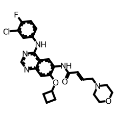 O=C(C=CCN1CCOCC1)Nc1cc2c(Nc3ccc(F)c(Cl)c3)ncnc2cc1OC1CCC1